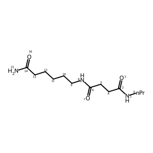 CCCNC(=O)CCC(=O)NCCCCCC(N)=O